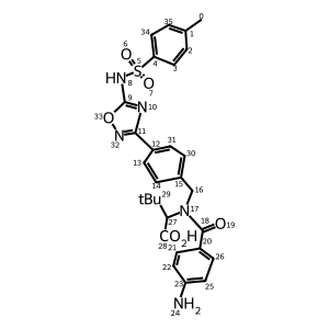 Cc1ccc(S(=O)(=O)Nc2nc(-c3ccc(CN(C(=O)c4ccc(N)cc4)C(C(=O)O)C(C)(C)C)cc3)no2)cc1